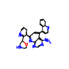 Nc1ncnc2nc(-c3cccnc3C3CNCCO3)cc(-c3ccnc4ccccc34)c12